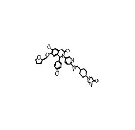 COc1cc2c(cc1OCC1CCCO1)C(c1ccc(Cl)cc1)N(c1ccc(N(C)CC3CCC(N4CC(=O)N(C)C4)CC3)nc1)C(=O)C2